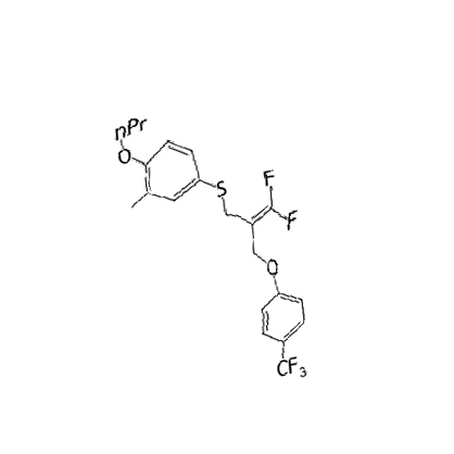 CCCOc1ccc(SCC(COc2ccc(C(F)(F)F)cc2)=C(F)F)cc1C